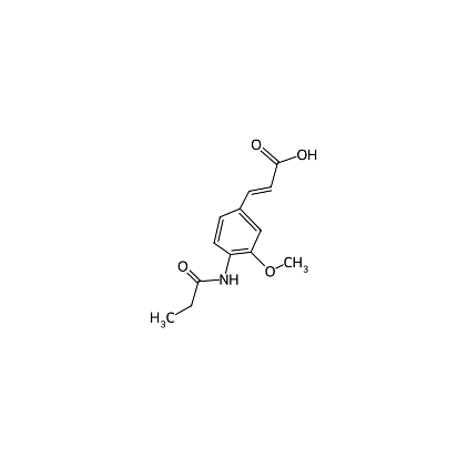 CCC(=O)Nc1ccc(C=CC(=O)O)cc1OC